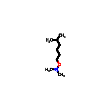 CC(C)CCCCON(C)C